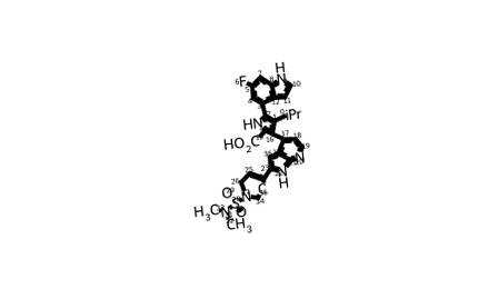 CC(C)c1c(-c2cc(F)cc3[nH]ccc23)[nH]c(C(=O)O)c1-c1ccnc2[nH]c(C3=CCN(S(=O)(=O)N(C)C)CC3)cc12